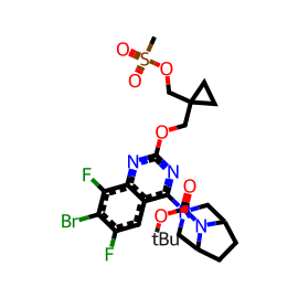 CC(C)(C)OC(=O)N1C2CCC1CN(c1nc(OCC3(COS(C)(=O)=O)CC3)nc3c(F)c(Br)c(F)cc13)C2